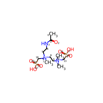 CC(=O)NCC[N+](C)(CC[N+](C)(C)CS(=O)(=O)O)CS(=O)(=O)O